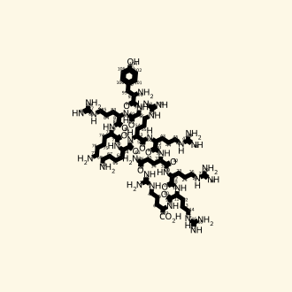 N=C(N)NCCCC(NC(=O)C(CCCNC(=N)N)NC(=O)C(CCCNC(=N)N)NC(=O)C(CCC(N)=O)NC(=O)C(CCCNC(=N)N)NC(=O)C(CCCNC(=N)N)NC(=O)C(CCCCN)NC(=O)C(CCCCN)NC(=O)C(CCCNC(=N)N)NC(=O)CNC(=O)C(N)Cc1ccc(O)cc1)C(=O)O